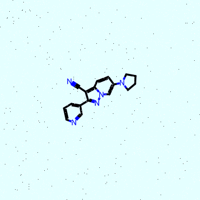 N#Cc1c(-c2cccnc2)nn2cc(N3CCCC3)ccc12